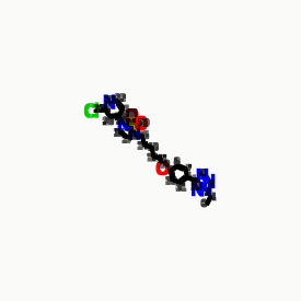 CCn1nnc(-c2ccc(OCCCCCN3CCN(c4ccnc(Cl)c4)S3(=O)=O)cc2)n1